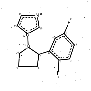 Fc1ccc(F)c(C2CCCN2n2ccnc2)c1